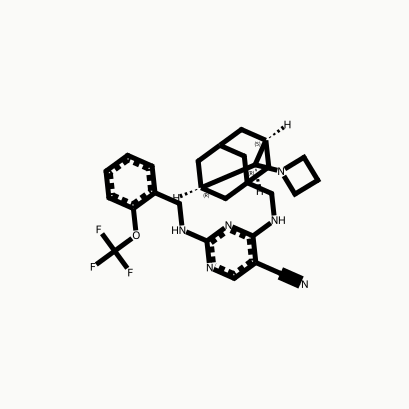 N#Cc1cnc(NCc2ccccc2OC(F)(F)F)nc1NCC12CC3C[C@H](C1)[C@H](N1CCC1)[C@@H](C3)C2